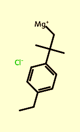 CCc1ccc(C(C)(C)[CH2][Mg+])cc1.[Cl-]